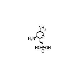 NC1COC(/C=C/P(=O)(O)O)C(N)C1